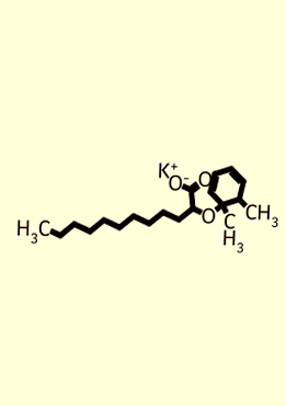 CCCCCCCCCCC(OC1(C)C=CC=CC1C)C(=O)[O-].[K+]